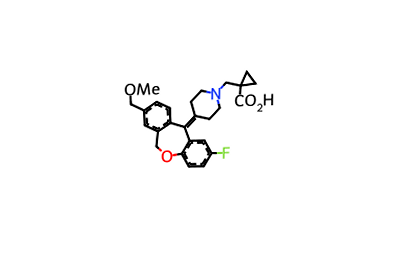 COCc1ccc2c(c1)COc1ccc(F)cc1C2=C1CCN(CC2(C(=O)O)CC2)CC1